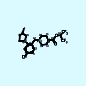 CC1CCN(c2cc(Cl)ccc2CN2CCN(C(=O)OC(C(F)(F)F)C(F)(F)F)CC2)C1